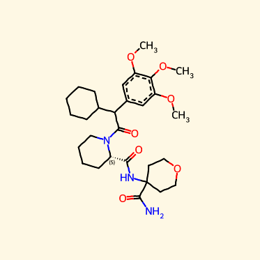 COc1cc(C(C(=O)N2CCCC[C@H]2C(=O)NC2(C(N)=O)CCOCC2)C2CCCCC2)cc(OC)c1OC